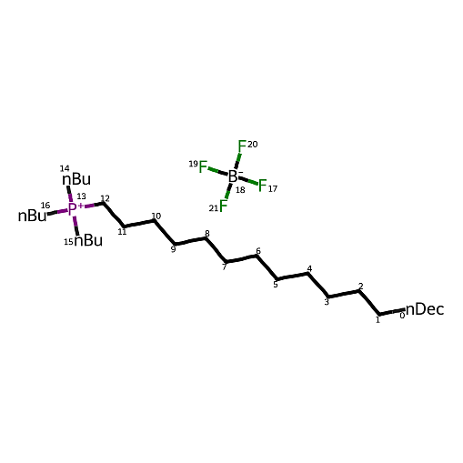 CCCCCCCCCCCCCCCCCCCCCC[P+](CCCC)(CCCC)CCCC.F[B-](F)(F)F